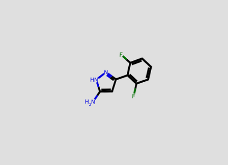 Nc1cc(-c2c(F)cccc2F)n[nH]1